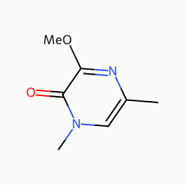 COc1nc(C)cn(C)c1=O